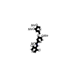 COc1cnc(COc2cc(/C(C#N)=C/c3c(Cl)cncc3Cl)ncc2OC)cc1OC